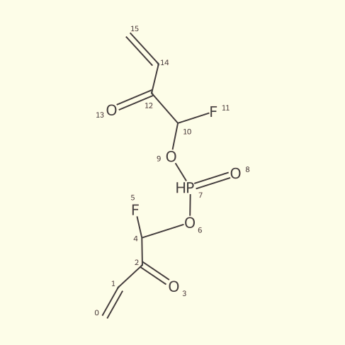 C=CC(=O)C(F)O[PH](=O)OC(F)C(=O)C=C